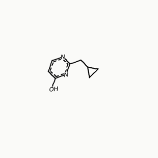 Oc1ccnc(CC2CC2)n1